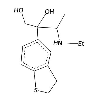 CCNC(C)C(O)(CO)c1ccc2c(c1)CCS2